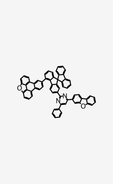 c1ccc(-c2cc(-c3ccc4c(c3)oc3ccccc34)nc(-c3ccc4c(c3)C3(c5ccccc5-c5ccccc53)c3cccc(-c5ccc6c(c5)c5cccc7oc8cccc6c8c75)c3-4)n2)cc1